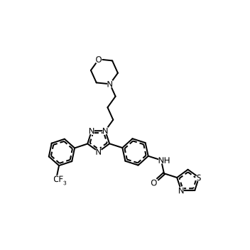 O=C(Nc1ccc(-c2nc(-c3cccc(C(F)(F)F)c3)nn2CCCN2CCOCC2)cc1)c1cscn1